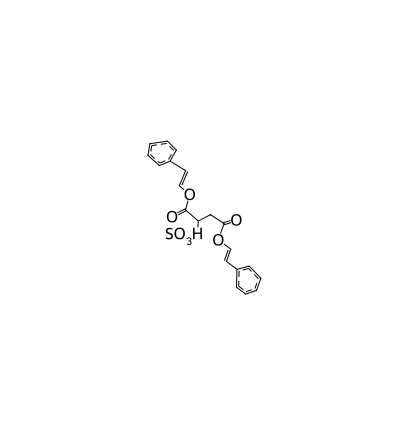 O=C(CC(C(=O)OC=Cc1ccccc1)S(=O)(=O)O)OC=Cc1ccccc1